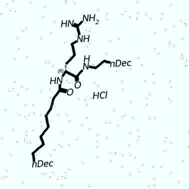 CCCCCCCCCCCCCCCCCC(=O)N[C@H](CCCNC(=N)N)C(=O)NCCCCCCCCCCCC.Cl